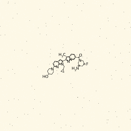 Cc1c(-c2cc3ccc(N4CCC(O)CC4)nc3n2CC2CC2)nn2cc(C(=O)N3C[C@H](N)C[C@@H](F)C3)ccc12